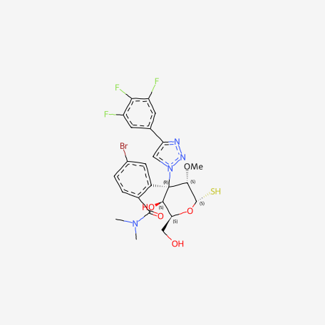 CO[C@@H]1[C@H](S)O[C@@H](CO)[C@@H](O)[C@@]1(c1cc(Br)ccc1C(=O)N(C)C)n1cc(-c2cc(F)c(F)c(F)c2)nn1